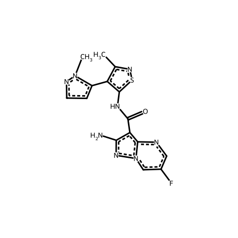 Cc1nsc(NC(=O)c2c(N)nn3cc(F)cnc23)c1-c1ccnn1C